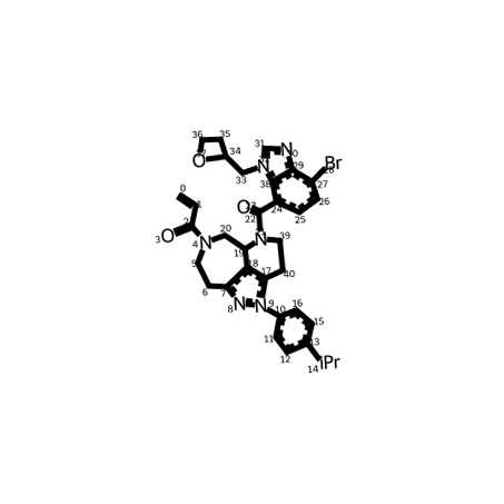 C=CC(=O)N1CCc2nn(-c3ccc(C(C)C)cc3)c3c2C(C1)N(C(=O)c1ccc(Br)c2ncn(CC4CCO4)c12)CC3